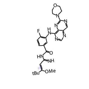 CO/C(=C\C(=N)NC(=O)c1ccc(F)c(Nc2ncnc3cnc(N4CCOCC4)nc23)c1)C(C)(C)C